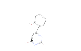 Brc1cc(-c2ccccc2Br)nc(Br)n1